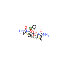 CC1(C)S[C@@H]2C(N)C(=O)N2[C@H]1C(=O)OC(OC(=O)[C@@H]1N2C(=O)C(N)[C@H]2SC1(C)C)c1c(Cl)cccc1Cl